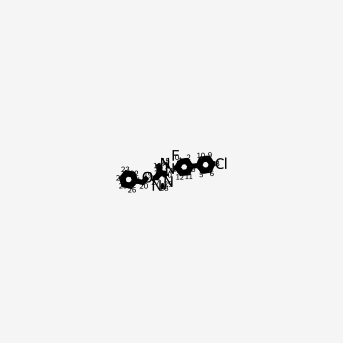 Fc1cc(-c2ccc(Cl)cc2)ccc1-n1ncc2c(OCc3ccccc3)ncnc21